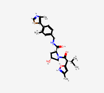 Cc1cc([C@H](C(=O)N2C[C@H](O)C[C@H]2C(=O)NCc2ccc(-c3scnc3C)c(C)c2)C(C)C)on1